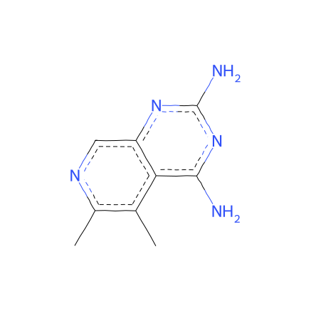 Cc1ncc2nc(N)nc(N)c2c1C